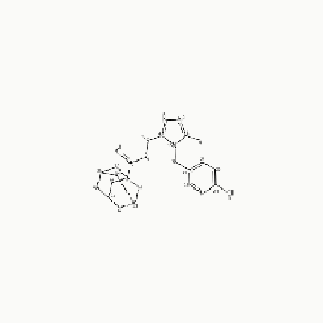 Cc1nnc(SCC(=O)C23CC4CC(CC(C4)C2)C3)n1Cc1ccc(Cl)cc1